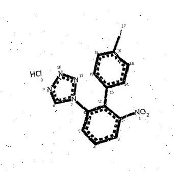 Cl.O=[N+]([O-])c1cccc(-n2cnnn2)c1-c1ccc(I)cc1